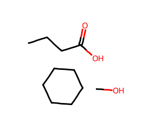 C1CCCCC1.CCCC(=O)O.CO